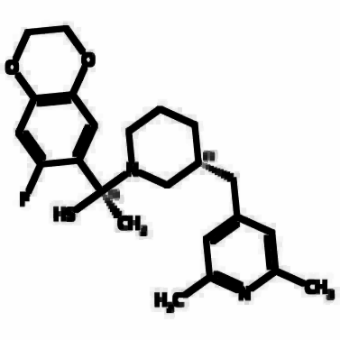 Cc1cc(C[C@H]2CCCN([C@@](C)(S)c3cc4c(cc3F)OCCO4)C2)cc(C)n1